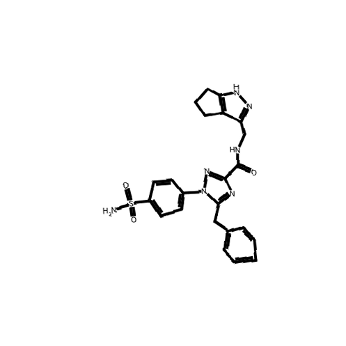 NS(=O)(=O)c1ccc(-n2nc(C(=O)NCc3n[nH]c4c3CCC4)nc2Cc2ccccc2)cc1